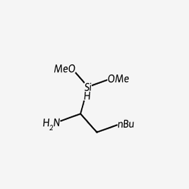 CCCCCC(N)[SiH](OC)OC